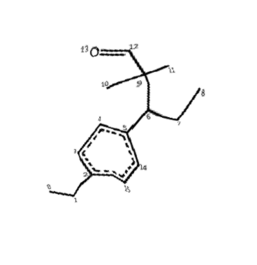 CCc1ccc(C(CC)C(C)(C)C=O)cc1